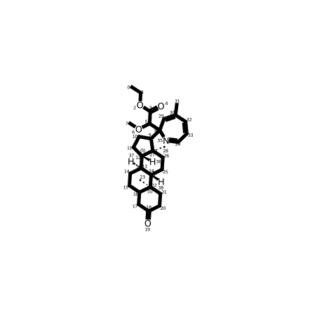 CCOC(=O)C(OC)C1(C2CC[C@H]3[C@@H]4CCC5CC(=O)CC[C@]5(C)[C@H]4CC[C@]23C)C=C(C)C=CC=N1